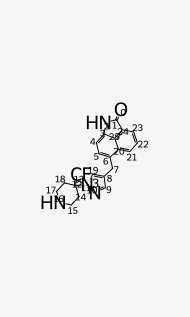 O=C1Nc2ccc(Cc3cnn(C4(C(F)(F)F)CCNCC4)c3)c3cccc1c23